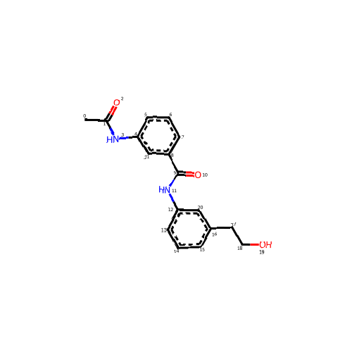 CC(=O)Nc1cccc(C(=O)Nc2cccc(CCO)c2)c1